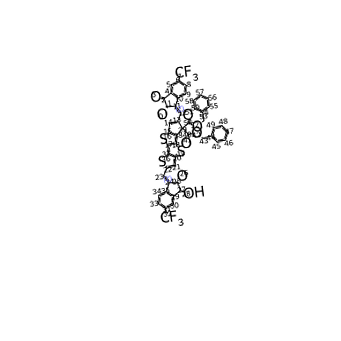 O=C1C(=O)c2cc(C(F)(F)F)ccc2/C1=C/C1=Cc2sc3c(sc4cc(/C=C5\C(=O)C(O)c6cc(C(F)(F)F)ccc65)sc43)c2C1(C(=O)OCc1ccccc1)C(=O)OCc1ccccc1